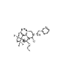 CCOC(=O)N1C(=O)N(NCc2cccnc2)Cc2cccc(C(F)(C(F)(F)F)C(F)(F)F)c21